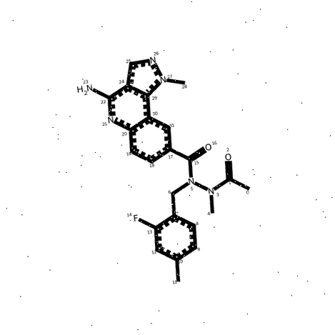 CC(=O)N(C)N(Cc1ccc(C)cc1F)C(=O)c1ccc2nc(N)c3cnn(C)c3c2c1